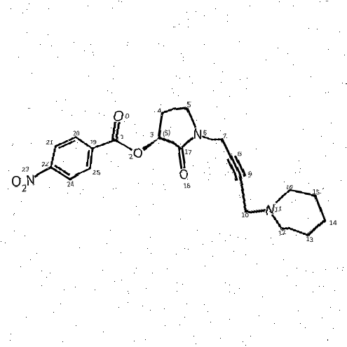 O=C(O[C@H]1CCN(CC#CCN2CCCCC2)C1=O)c1ccc([N+](=O)[O-])cc1